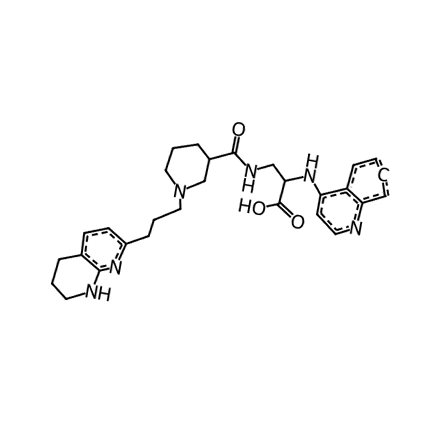 O=C(NCC(Nc1ccnc2ccccc12)C(=O)O)C1CCCN(CCCc2ccc3c(n2)NCCC3)C1